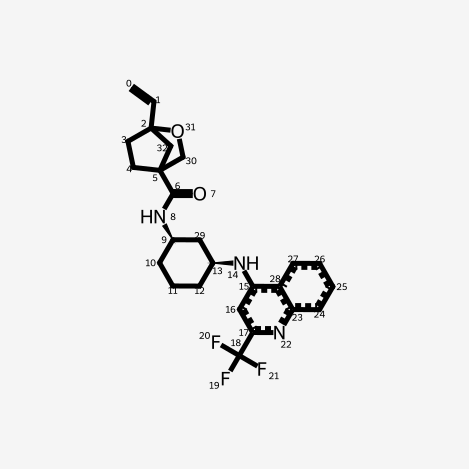 C=CC12CCC(C(=O)N[C@@H]3CCC[C@H](Nc4cc(C(F)(F)F)nc5ccccc45)C3)(CO1)C2